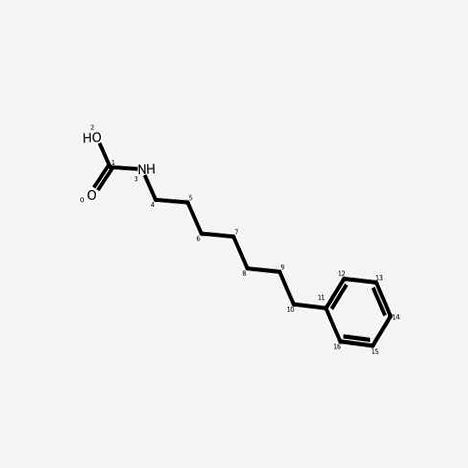 O=C(O)NCCCCCCCc1ccccc1